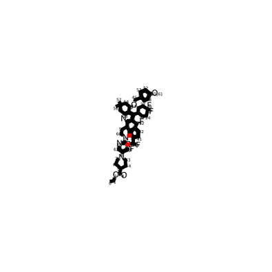 CCOC(=O)C1CCN(c2cnc(N3CCC(c4nc5c(c(C6CCC(F)(F)CC6)c4[C@@H](F)c4ccc(C(F)(F)F)cc4)[C@@H](OCc4ccc(OC)cc4)CC(C)(C)C5)CC3)nc2)CC1